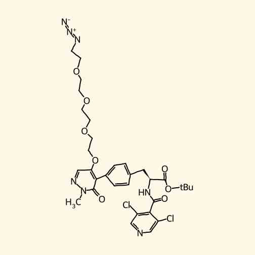 Cn1ncc(OCCOCCOCCOCCN=[N+]=[N-])c(-c2ccc(C[C@H](NC(=O)c3c(Cl)cncc3Cl)C(=O)OC(C)(C)C)cc2)c1=O